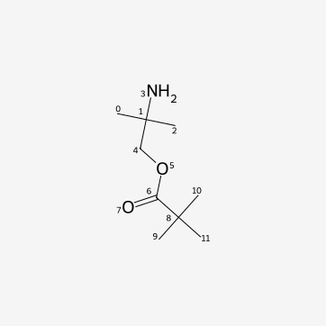 CC(C)(N)COC(=O)C(C)(C)C